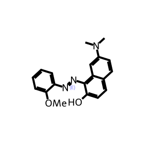 COc1ccccc1/N=N/c1c(O)ccc2ccc(N(C)C)cc12